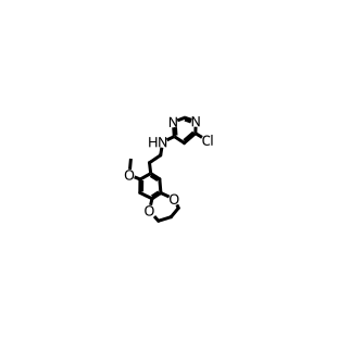 COc1cc2c(cc1CCNc1cc(Cl)ncn1)OCCCO2